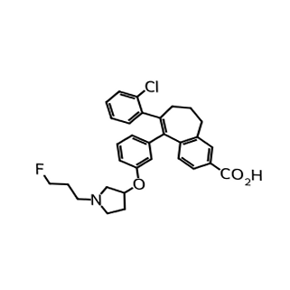 O=C(O)c1ccc2c(c1)CCCC(c1ccccc1Cl)=C2c1cccc(OC2CCN(CCCF)C2)c1